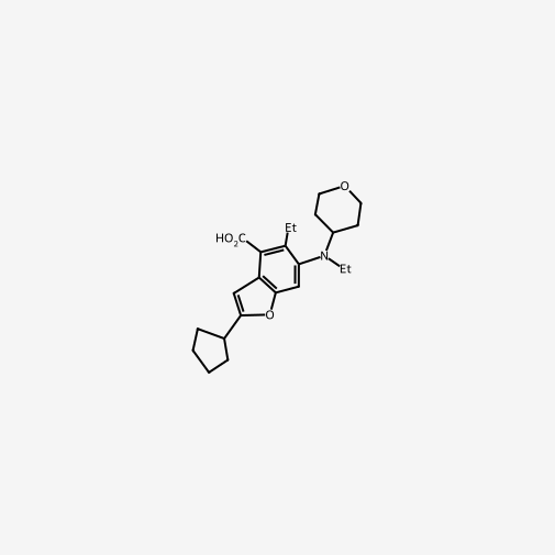 CCc1c(N(CC)C2CCOCC2)cc2oc(C3CCCC3)cc2c1C(=O)O